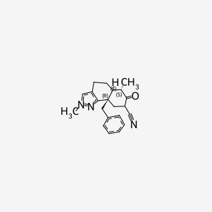 C[C@@H]1C(=O)C(C#N)C[C@]2(Cc3ccccc3)c3nn(C)cc3CC[C@@H]12